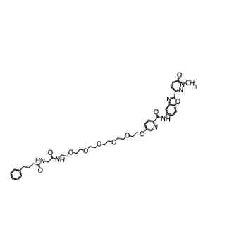 Cn1nc(-c2nc3cc(NC(=O)c4ccc(OCCOCCOCCOCCOCCOCCNC(=O)CNC(=O)CCCc5ccccc5)cn4)ccc3o2)ccc1=O